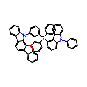 c1ccc(-n2c3ccccc3c3c([Si](c4ccccc4)(c4ccccc4)c4cccc(-n5c6ccccc6c6ccc7c8ccccc8oc7c65)c4)cccc32)cc1